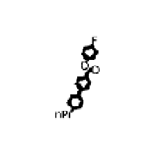 CCCC1CCC(c2ccc(C(=O)Oc3ccc(F)cc3)cc2)CC1